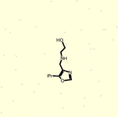 CC(C)c1ocnc1CNCCO